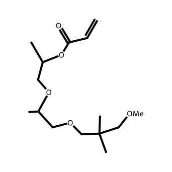 C=CC(=O)OC(C)COC(C)COCC(C)(C)COC